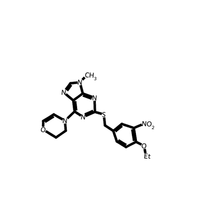 CCOc1ccc(CSc2nc(N3C=COCC3)c3ncn(C)c3n2)cc1[N+](=O)[O-]